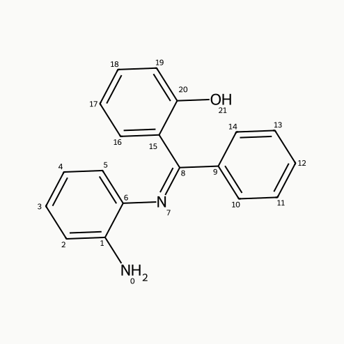 Nc1ccccc1N=C(c1ccccc1)c1ccccc1O